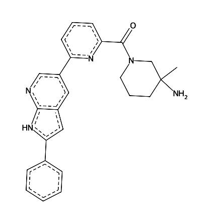 CC1(N)CCCN(C(=O)c2cccc(-c3cnc4[nH]c(-c5ccccc5)cc4c3)n2)C1